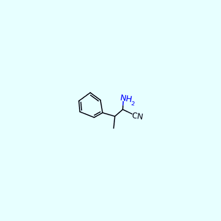 CC(c1ccccc1)C(N)C#N